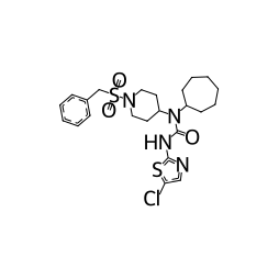 O=C(Nc1ncc(Cl)s1)N(C1CCCCCC1)C1CCN(S(=O)(=O)Cc2ccccc2)CC1